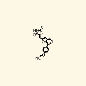 N#CCOc1ccc(-c2cncc3cc(/C=C4\SC(=S)NC4=O)oc23)cc1